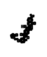 C=C1/C(=c2/nc3c(c(=O)[nH]2)=CC(=[N+](C)C)C=C3)C(O)c2cc3c(cc21)C(=O)N(c1cc(OCCN2CCCC2=O)ccc1C)C3=O